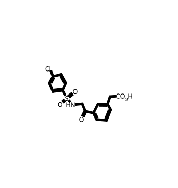 O=C(O)Cc1cccc(C(=O)CNS(=O)(=O)c2ccc(Cl)cc2)c1